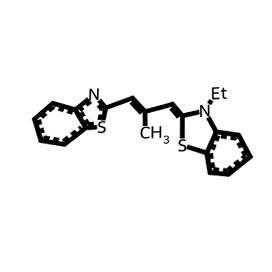 CCN1/C(=C/C(C)=C/c2nc3ccccc3s2)Sc2ccccc21